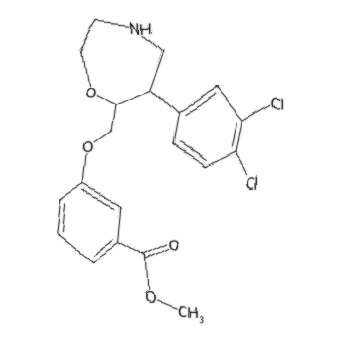 COC(=O)c1cccc(OCC2OCCNCC2c2ccc(Cl)c(Cl)c2)c1